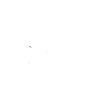 NC1CN(C(=O)O)C[C@@H]1O